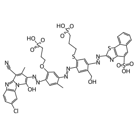 Cc1cc(N=Nc2c(C)c(C#N)c3nc4ccc(Cl)cc4n3c2O)c(OCCCS(=O)(=O)O)cc1N=Nc1cc(CO)c(N=Nc2nc3c(S(=O)(=O)O)cc4ccccc4c3s2)cc1SCCCS(=O)(=O)O